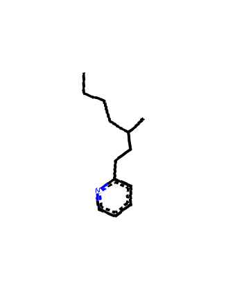 CCCC[C](C)CCc1ccccn1